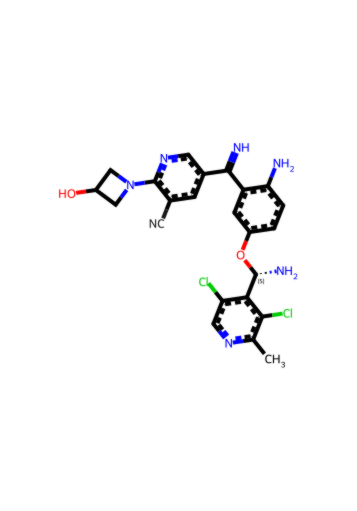 Cc1ncc(Cl)c([C@@H](N)Oc2ccc(N)c(C(=N)c3cnc(N4CC(O)C4)c(C#N)c3)c2)c1Cl